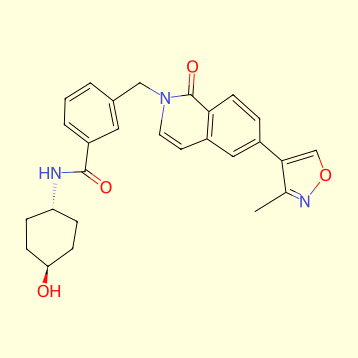 Cc1nocc1-c1ccc2c(=O)n(Cc3cccc(C(=O)N[C@H]4CC[C@H](O)CC4)c3)ccc2c1